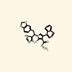 COC(=O)c1c(-c2cccc3ccccc23)cn(C(Cc2ccc3c(c2)OCO3)c2cnc[nH]2)c1C